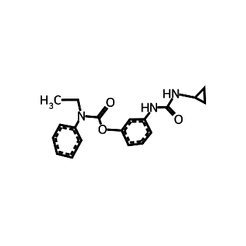 CCN(C(=O)Oc1cccc(NC(=O)NC2CC2)c1)c1ccccc1